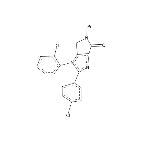 CC(C)N1Cc2c(nc(-c3ccc(Cl)cc3)n2-c2ccccc2Cl)C1=O